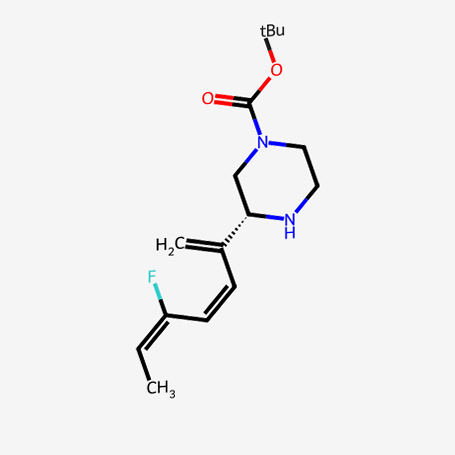 C=C(/C=C\C(F)=C/C)[C@@H]1CN(C(=O)OC(C)(C)C)CCN1